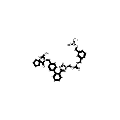 CCCCC1=NC2(CCCC2)C(=O)N1Cc1ccc(-c2ccccc2-c2nnn(COC(=O)OCc3cccc(CON(O)O)c3)n2)cc1